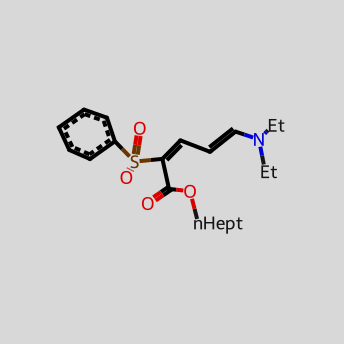 CCCCCCCOC(=O)/C(=C\C=C\N(CC)CC)S(=O)(=O)c1ccccc1